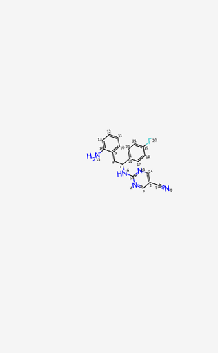 N#Cc1cnc(NC(Cc2ccccc2N)c2ccc(F)cc2)nc1